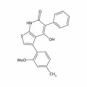 COc1cc(C)ccc1-c1csc2[nH]c(=O)c(-c3ccccc3)c(O)c12